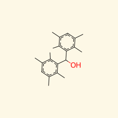 Cc1cc(C)c(C)c(C(O)c2c(C)c(C)cc(C)c2C)c1C